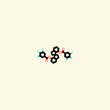 O=C(Oc1cccc2c1C1(CC2)CCc2cccc(OC(=O)c3cc(F)c(F)c(F)c3)c21)c1cc(F)c(F)c(F)c1